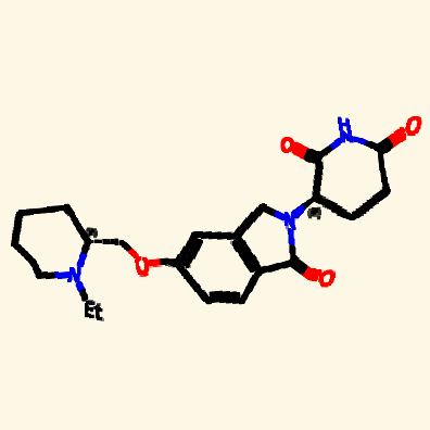 CCN1CCCC[C@@H]1COc1ccc2c(c1)CN([C@@H]1CCC(=O)NC1=O)C2=O